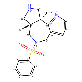 O=S(=O)(c1ccccc1)N1Cc2cccnc2[C@@H]2CNC[C@H]2C1